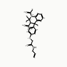 C=CCNC(=O)COc1ccc(C2(C)c3c[c]ccc3N(C(C)=O)C(C)(C)C2C(N)=O)cc1